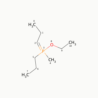 CCC=P(C)(CCC)OCC